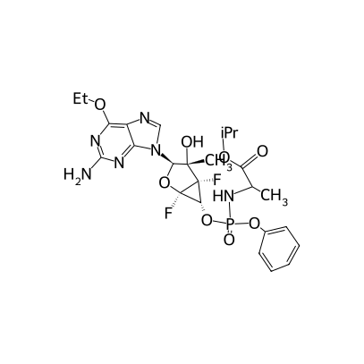 CCOc1nc(N)nc2c1ncn2[C@@H]1O[C@]2(F)[C@@H](OP(=O)(NC(C)C(=O)OC(C)C)Oc3ccccc3)[C@]2(F)[C@@]1(C)O